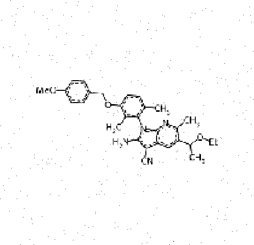 CCOC(C)c1cc2c(C#N)c(N)n(-c3c(C)ccc(OCc4ccc(OC)cc4)c3C)c2nc1C